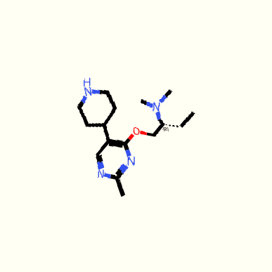 CC[C@H](COc1nc(C)ncc1C1CCNCC1)N(C)C